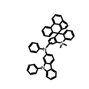 CS1(C)c2ccccc2C2(c3ccccc3-c3cccc4cccc2c34)c2ccc(N(c3ccccc3)c3ccc4c5ccccc5n(-c5ccccc5)c4c3)cc21